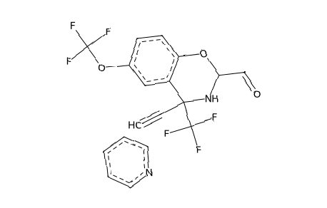 C#CC1(C(F)(F)F)NC(C=O)Oc2ccc(OC(F)(F)F)cc21.c1ccncc1